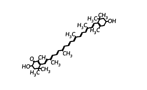 CC1=C(/C=C/C(C)=C/C=C/C(C)=C/C=C/C=C(C)/C=C/C=C(C)/C=C/C2=C(C)C(=O)C(O)CC2(C)C)C(C)(C)CC(O)C1